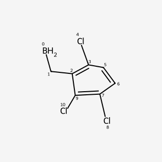 BCc1c(Cl)ccc(Cl)c1Cl